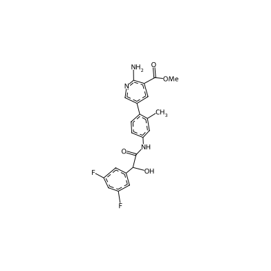 COC(=O)c1cc(-c2ccc(NC(=O)C(O)c3cc(F)cc(F)c3)cc2C)cnc1N